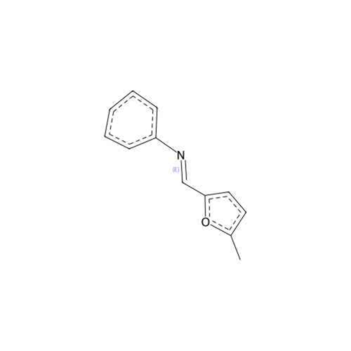 Cc1ccc(/C=N/c2ccccc2)o1